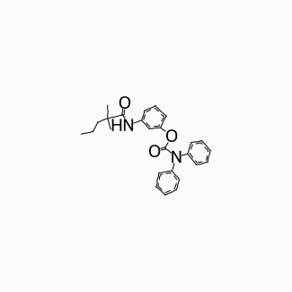 CCCC(C)(C)C(=O)Nc1cccc(OC(=O)N(c2ccccc2)c2ccccc2)c1